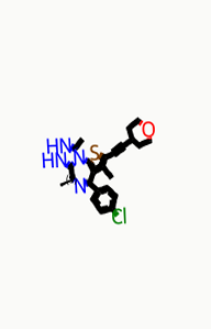 CC(=N)N1C(=N)[C@H](C)N=C(c2ccc(Cl)cc2)c2c1sc(C#CC1CCOCC1)c2C